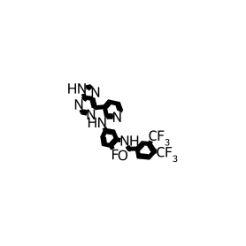 O=C(Nc1cc(Nc2ncccc2-c2ncnc3[nH]cnc23)ccc1F)c1ccc(C(F)(F)F)c(C(F)(F)F)c1